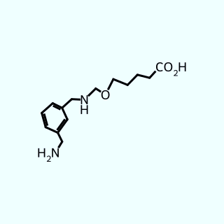 NCc1cccc(CNCOCCCCC(=O)O)c1